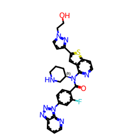 O=C(c1ccc(-n2nnc3cccnc32)cc1F)N(c1nccc2sc(-c3ccn(CCO)n3)cc12)[C@@H]1CCCNC1